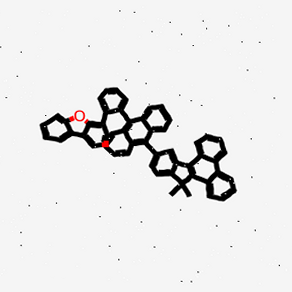 CC1(C)c2ccc(-c3c4ccccc4c(-c4ccccc4-c4cccc5c4oc4ccccc45)c4ccccc34)cc2-c2c1c1ccccc1c1ccccc21